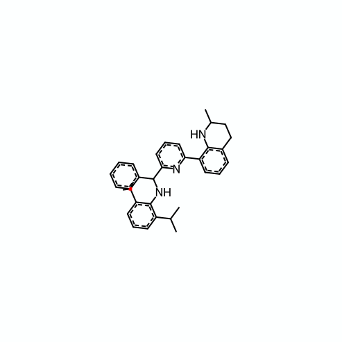 CC1CCc2cccc(-c3cccc(C(Nc4c(C(C)C)cccc4C(C)C)c4ccccc4)n3)c2N1